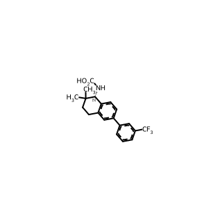 CC1(C)CCc2cc(-c3cccc(C(F)(F)F)c3)ccc2[C@H]1NC(=O)O